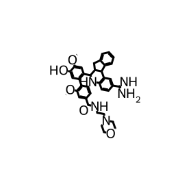 COc1cc(C2Nc3ccc(C(=N)N)cc3C3c4ccccc4CC23)c(-c2ccc(C(=O)NCCN3CCOCC3)cc2OC)cc1O